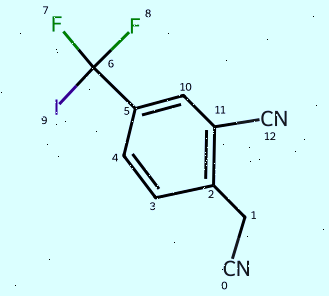 N#CCc1ccc(C(F)(F)I)cc1C#N